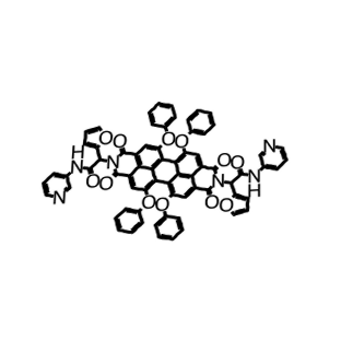 O=C(Nc1cccnc1)C(c1ccco1)N1C(=O)c2cc(Oc3ccccc3)c3c4c(Oc5ccccc5)cc5c6c(cc(Oc7ccccc7)c(c7c(Oc8ccccc8)cc(c2c37)C1=O)c64)C(=O)N(C(C(=O)Nc1cccnc1)c1ccco1)C5=O